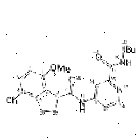 COc1ccc(Cl)c2c1C(C(=O)Nc1ccnc(C(=O)NC(C)(C)C)c1)CC2